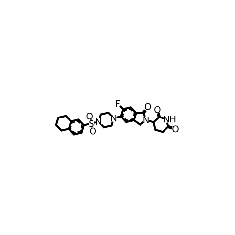 O=C1CCC(N2Cc3cc(N4CCN(S(=O)(=O)c5ccc6c(c5)CCCC6)CC4)c(F)cc3C2=O)C(=O)N1